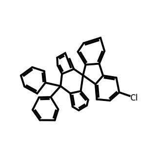 Clc1ccc2c(c1)-c1ccccc1C21c2ccccc2C(c2ccccc2)(c2ccccc2)c2ccccc21